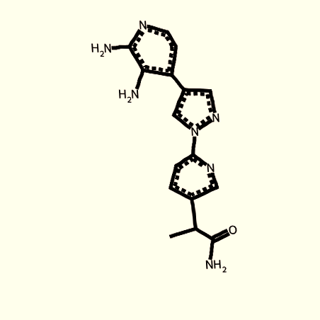 CC(C(N)=O)c1ccc(-n2cc(-c3ccnc(N)c3N)cn2)nc1